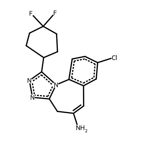 NC1=Cc2cc(Cl)ccc2-n2c(nnc2C2CCC(F)(F)CC2)C1